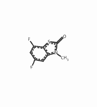 Cn1c(=O)sc2c(F)cc(F)cc21